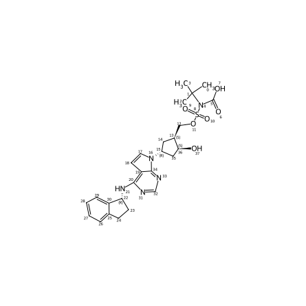 CC(C)(C)N(C(=O)O)S(=O)(=O)OC[C@@H]1C[C@@H](n2ccc3c(N[C@@H]4CCc5ccccc54)ncnc32)C[C@@H]1O